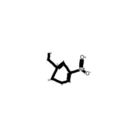 CCC1=CC([N+](=O)[O-])=CC[CH]1